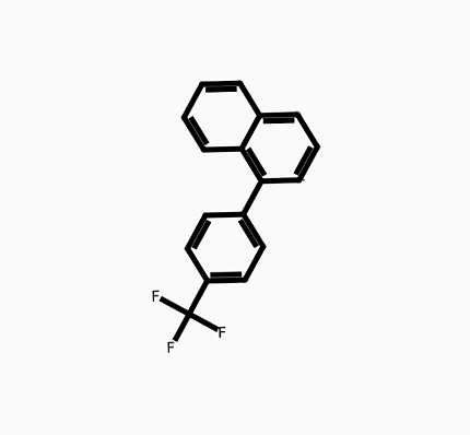 FC(F)(F)c1ccc(-c2[c]ccc3ccccc23)cc1